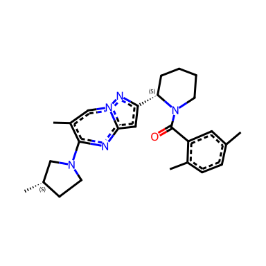 Cc1ccc(C)c(C(=O)N2CCCC[C@H]2c2cc3nc(N4CC[C@H](C)C4)c(C)cn3n2)c1